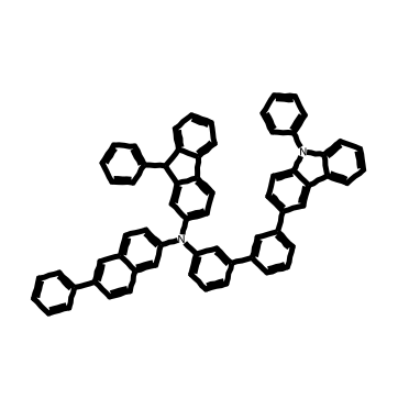 c1ccc(-c2ccc3cc(N(c4cccc(-c5cccc(-c6ccc7c(c6)c6ccccc6n7-c6ccccc6)c5)c4)c4ccc5c(c4)C(c4ccccc4)c4ccccc4-5)ccc3c2)cc1